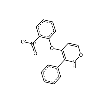 O=[N+]([O-])c1ccccc1OC1=C(c2ccccc2)NOC=C1